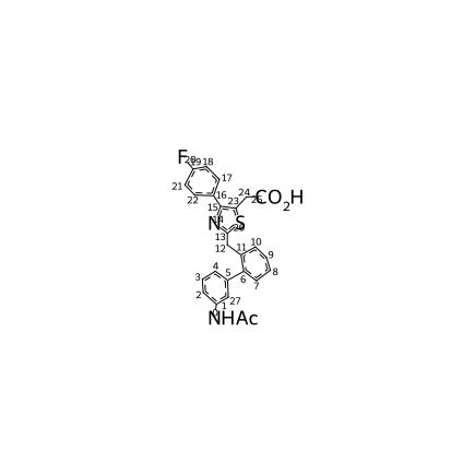 CC(=O)Nc1cccc(-c2ccccc2Cc2nc(-c3ccc(F)cc3)c(CC(=O)O)s2)c1